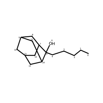 CCCCCC1(O)C2CC3CC(C2)CC1C3